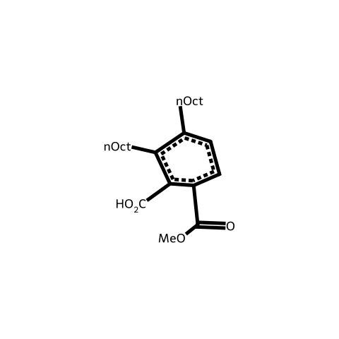 CCCCCCCCc1ccc(C(=O)OC)c(C(=O)O)c1CCCCCCCC